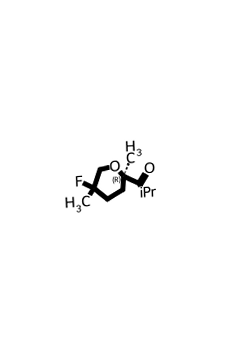 CC(C)C(=O)[C@@]1(C)CCC(C)(F)CO1